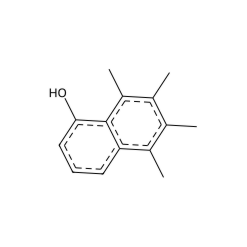 Cc1c(C)c(C)c2c(O)cccc2c1C